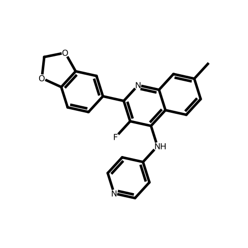 Cc1ccc2c(Nc3ccncc3)c(F)c(-c3ccc4c(c3)OCO4)nc2c1